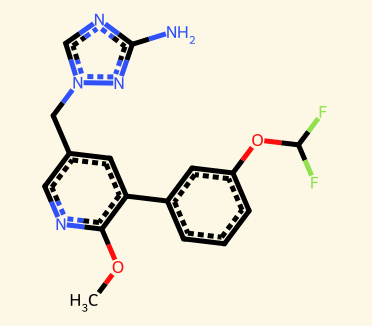 COc1ncc(Cn2cnc(N)n2)cc1-c1cccc(OC(F)F)c1